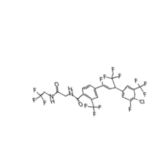 O=C(CNC(=O)c1ccc(C(F)=CC(c2cc(F)c(Cl)c(C(F)(F)F)c2)C(F)(F)F)cc1C(F)(F)F)NCC(F)(F)F